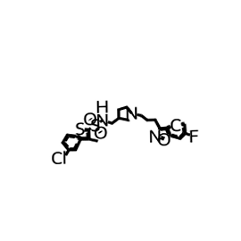 Cc1c(S(=O)(=O)NCC2CCN(CCCc3noc4cc(F)ccc34)C2)sc2ccc(Cl)cc12